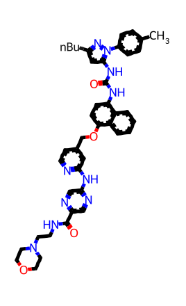 CCCCc1cc(NC(=O)Nc2ccc(OCc3ccnc(Nc4cnc(C(=O)NCCN5CCOCC5)cn4)c3)c3ccccc23)n(-c2ccc(C)cc2)n1